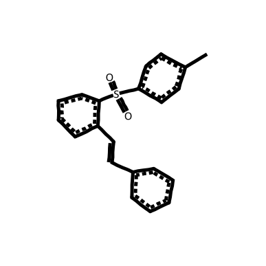 Cc1ccc(S(=O)(=O)c2ccccc2C=Cc2ccccc2)cc1